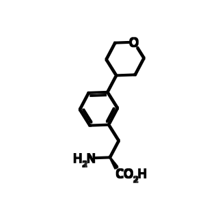 N[C@@H](Cc1cccc(C2CCOCC2)c1)C(=O)O